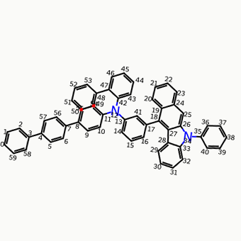 c1ccc(-c2ccc(-c3ccc(N(c4cccc(-c5c6ccccc6cc6c5c5ccccc5n6-c5ccccc5)c4)c4ccccc4-c4ccccc4)cc3)cc2)cc1